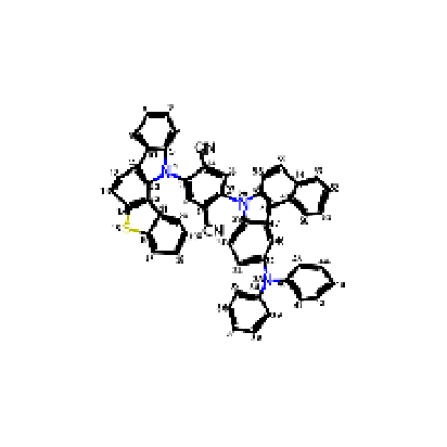 N#Cc1cc(-n2c3ccccc3c3ccc4sc5ccccc5c4c32)c(C#N)cc1-n1c2ccc(N(c3ccccc3)c3ccccc3)cc2c2c3ccccc3ccc21